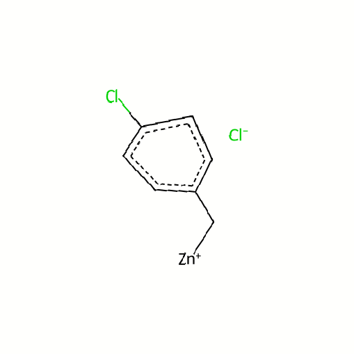 Clc1ccc([CH2][Zn+])cc1.[Cl-]